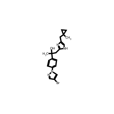 CC1(Cc2c[nH]c(CC(C)(O)c3ccc(-n4cc(Br)cn4)cc3)n2)CC1